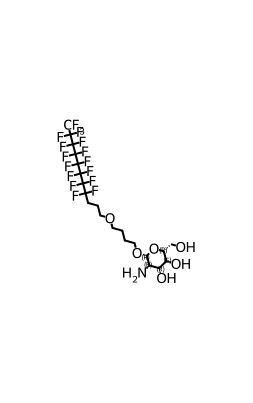 N[C@H]1[C@H](OCCCCOCCCC(F)(F)C(F)(F)C(F)(F)C(F)(F)C(F)(F)C(F)(F)C(F)(F)C(F)(F)F)O[C@H](CO)[C@@H](O)[C@@H]1O